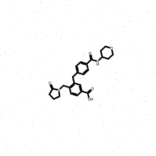 O=C(O)c1ccc(CN2CCCC2=O)c(Cc2ccc(C(=O)NC3CCOCC3)cc2)c1